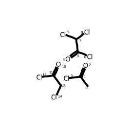 CC(=O)Cl.O=C(Cl)C(Cl)Cl.O=C(Cl)CCl